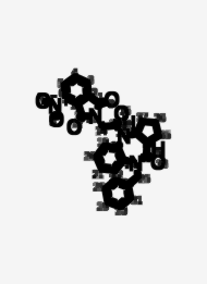 O=C1c2cccc([N+](=O)[O-])c2C(=O)N1CC(=O)N1c2ccccc2N(Cc2ccccc2)C(=O)[C@H]2CCC[C@H]21